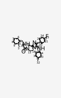 CN[C@@H](Cc1ccccc1)C(=O)N1CCn2c(nc(-c3ccc(F)cc3)c2Nc2ccc(C)cc2)C1